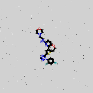 Fc1ccc(-n2ncnc2-c2cc3c(s2)CCOc2ccc(NCCN4CCOCC4)nc2-3)c(F)c1